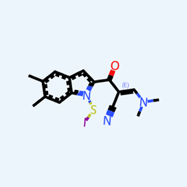 Cc1cc2cc(C(=O)/C(C#N)=C/N(C)C)n(SI)c2cc1C